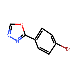 Brc1ccc(-c2nnco2)cc1